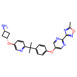 Cc1nc(-c2ncc(Oc3ccc(C(C)(C)c4ccc(O[C@H]5C[C@H](N)C5)cn4)cc3)cn2)no1